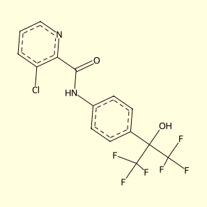 O=C(Nc1ccc(C(O)(C(F)(F)F)C(F)(F)F)cc1)c1ncccc1Cl